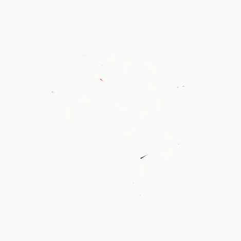 CCCCCCCC(=O)O[C@@H]1[C@H](OC(O)[C@@H]2OC(C)(C)O[C@H]2CO[Si](C)(C)C(C)(C)C)O[C@H](COC(=O)CCCCC)[C@@H](OC(=O)CCCCC)[C@@H]1OC(=O)CCCCC